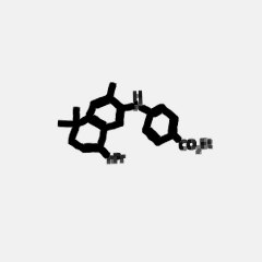 CCCC1=CCC(C)(C)c2cc(C)c(Nc3ccc(C(=O)OCC)cc3)cc21